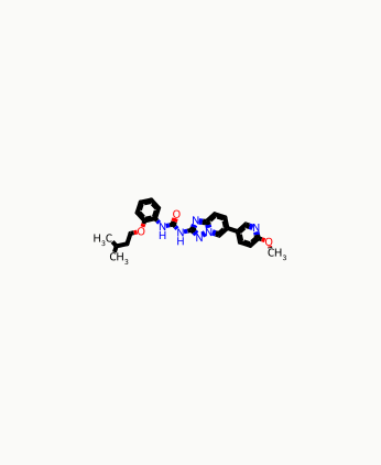 COc1ccc(-c2ccc3nc(NC(=O)Nc4ccccc4OCCC(C)C)nn3c2)cn1